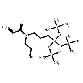 C=CC(=O)N(CCO)CCC[Si](O[Si](C)(C)C)(O[Si](C)(C)C)O[Si](C)(C)C